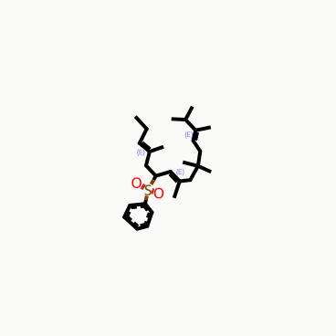 CC/C=C(\C)CC(/C=C(\C)CC(C)(C)C/C=C(\C)C(C)C)S(=O)(=O)c1ccccc1